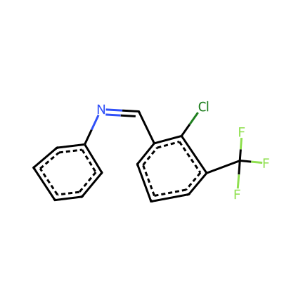 FC(F)(F)c1cccc(/C=N\c2ccccc2)c1Cl